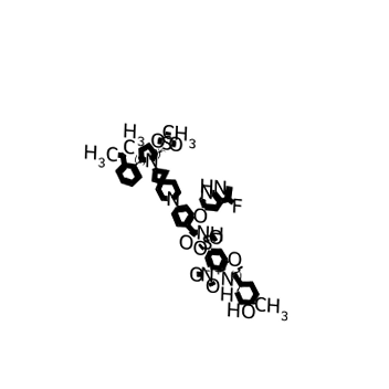 CC(C)c1ccccc1[C@@H]1CC[C@H](CS(C)(=O)=O)N1C1CC2(CCN(c3ccc(C(=O)NS(=O)(=O)c4cc5c(c([N+](=O)[O-])c4)N[C@@H]([C@H]4CC[C@](C)(O)CC4)CO5)c(Oc4cnc5[nH]cc(F)c5c4)c3)CC2)C1